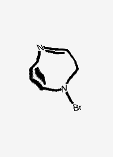 BrN1C=CN=CC1